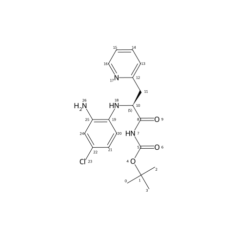 CC(C)(C)OC(=O)NC(=O)[C@H](Cc1ccccn1)Nc1ccc(Cl)cc1N